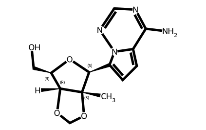 C[C@@]12OCO[C@@H]1[C@@H](CO)O[C@H]2c1ccc2c(N)ncnn12